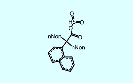 CCCCCCCCCC(CCCCCCCCC)(C(=O)O[SH](=O)=O)c1cccc2ccccc12